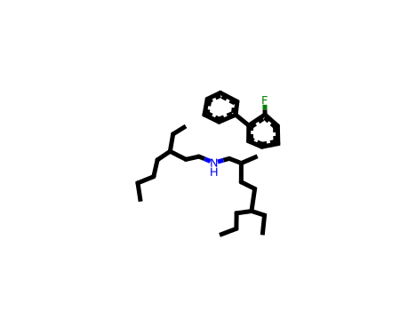 CCCCC(CC)CCNCC(C)CCC(CC)CCC.Fc1ccccc1-c1ccccc1